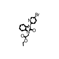 CCOC(=O)Cn1c(=O)n(-c2ccc(Br)cn2)c2ccccc21